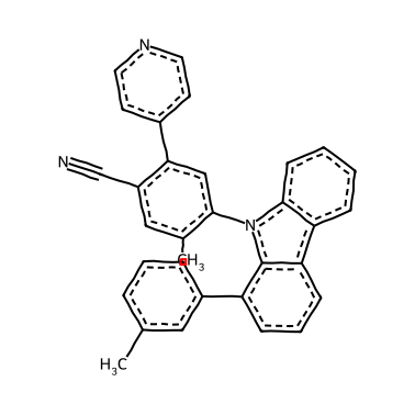 Cc1cccc(-c2cccc3c4ccccc4n(-c4cc(-c5ccncc5)c(C#N)cc4C)c23)c1